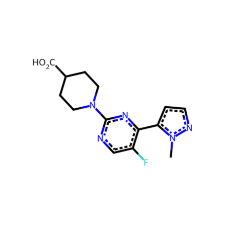 Cn1nccc1-c1nc(N2CCC(C(=O)O)CC2)ncc1F